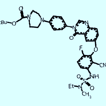 CCN(C)S(=O)(=O)Nc1ccc(F)c(Oc2ccc3ncn(-c4ccc(N5CCN(C(=O)OC(C)(C)C)CC5)cc4)c(=O)c3c2)c1C#N